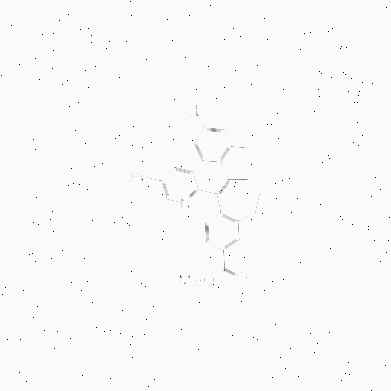 COC(=O)c1ccc2c(c1)CCCC(c1ccc(Cl)cc1Cl)=C2c1ccc(Br)cn1